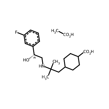 CC(=O)O.CC(C)(CC1CCC(C(=O)O)CC1)NC[C@H](O)c1cccc(F)c1